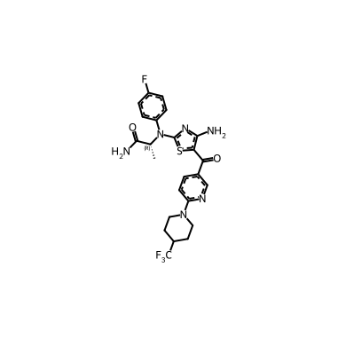 C[C@H](C(N)=O)N(c1ccc(F)cc1)c1nc(N)c(C(=O)c2ccc(N3CCC(C(F)(F)F)CC3)nc2)s1